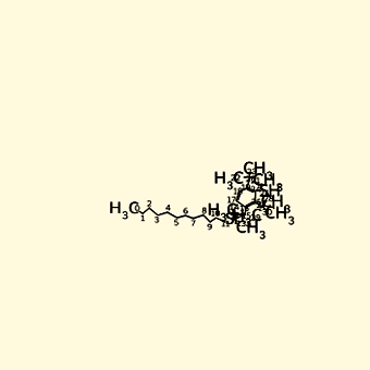 CCCCCCCCCCCC[Si](C)(C)Cc1ccc(C(C)(C)C)c(S)c1C(C)(C)C